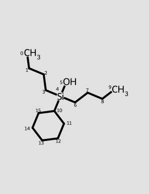 CCCC[Si](O)(CCCC)C1CCCCC1